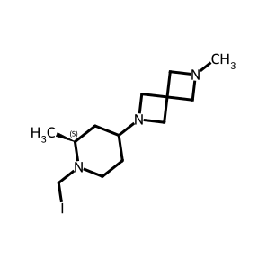 C[C@H]1CC(N2CC3(CN(C)C3)C2)CCN1CI